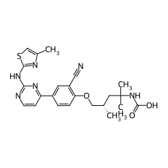 Cc1csc(Nc2nccc(-c3ccc(OC[C@@H](C)CC(C)(C)NC(=O)O)c(C#N)c3)n2)n1